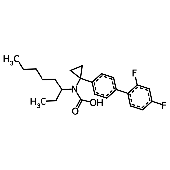 CCCCCC(CC)N(C(=O)O)C1(c2ccc(-c3ccc(F)cc3F)cc2)CC1